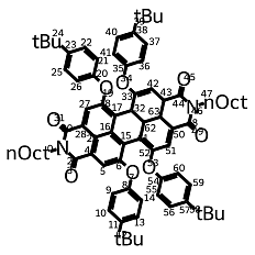 CCCCCCCCN1C(=O)c2cc(Oc3ccc(C(C)(C)C)cc3)c3c4c(c(Oc5ccc(C(C)(C)C)cc5)cc(c24)C1=O)C1C(Oc2ccc(C(C)(C)C)cc2)=CC2C(=O)N(CCCCCCCC)C(=O)C4=CC(Oc5ccc(C(C)(C)C)cc5)=C3C1C42